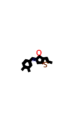 Cc1cc2c(s1)C/C(=C\c1ccc(C)c(C)c1)C2=O